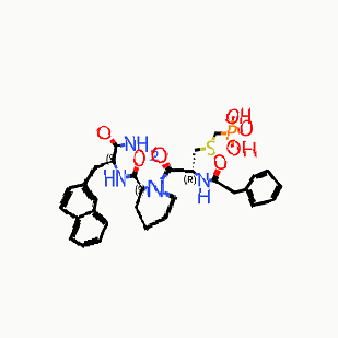 NC(=O)[C@H](Cc1ccc2ccccc2c1)NC(=O)[C@@H]1CCCCN1C(=O)[C@H](CSCP(=O)(O)O)NC(=O)Cc1ccccc1